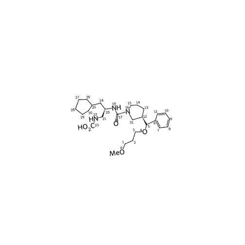 COCCCOC(c1ccccc1)[C@@H]1CCCN(C(=O)N[C@@H](CNC(=O)O)CC2CCCCC2)C1